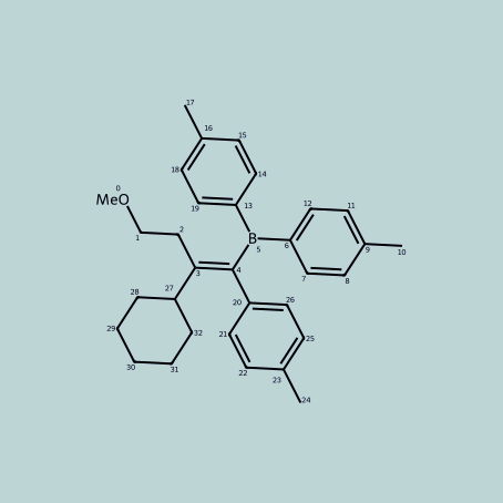 COCC/C(=C(\B(c1ccc(C)cc1)c1ccc(C)cc1)c1ccc(C)cc1)C1CCCCC1